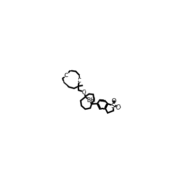 CC1(COC23BC(c4ccc5c(c4)CCS5(=O)=O)(CCCC2)CCC3)CCCCCCCCC1